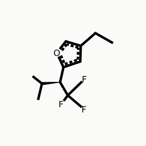 CCc1coc([C@H](C(C)C)C(F)(F)F)c1